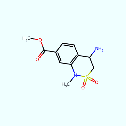 COC(=O)c1ccc2c(c1)N(C)S(=O)(=O)CC2N